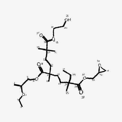 CCOC(C)COC(=O)C(C)(CCC(C)(C)C(=O)OCCO)CCC(C)(CC)C(=O)OCC1CO1